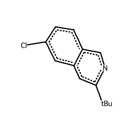 CC(C)(C)c1cc2cc(Cl)ccc2cn1